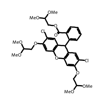 COC(COC(=O)c1ccccc1C1c2cc(Cl)c(OCC(OC)OC)cc2Oc2cc(OCC(OC)OC)c(Cl)cc21)OC